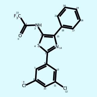 O=C(Nc1sc(-c2cc(Cl)cc(Cl)c2)nc1-c1ccccc1)C(F)(F)F